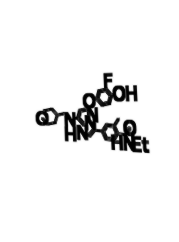 CCNC(=O)c1ccc(-c2cnc3c(NCC4CCOCC4)cc(Oc4ccc(O)c(F)c4)nn23)cc1C